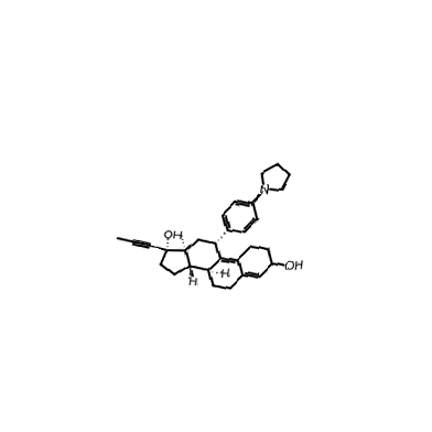 CC#C[C@]1(O)CC[C@H]2[C@@H]3CCC4=CC(O)CCC4=C3[C@@H](c3ccc(N4CCCC4)cc3)C[C@@]21C